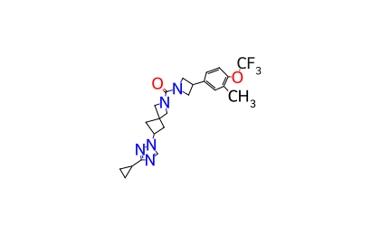 Cc1cc(C2CN(C(=O)N3CC4(CC(n5cnc(C6CC6)n5)C4)C3)C2)ccc1OC(F)(F)F